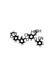 Cc1c(COc2cc(OCc3ccccc3C#N)c(CNO)cc2Cl)cccc1-c1ccc2c(c1)OCCO2